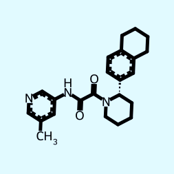 Cc1cncc(NC(=O)C(=O)N2CCCC[C@H]2c2ccc3c(c2)CCCC3)c1